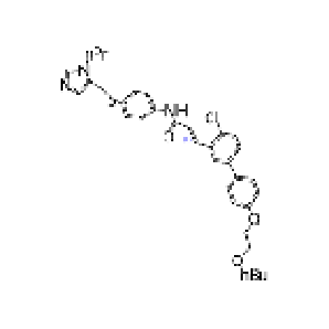 CCCCOCCOc1ccc(-c2ccc(Cl)c(/C=C/C(=O)Nc3ccc(SCc4cncn4CCC)cc3)c2)cc1